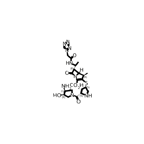 CC(NC(=O)Cn1cnnn1)[C@H]1C(=O)N2C(C(=O)O)=C(S[C@@H]3CN[C@H](C(=O)N4C[C@@H](O)[C@@H](N)C4)C3)[C@H](C)[C@H]12